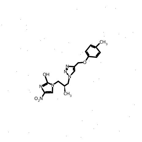 Cc1ccc(OCc2cn(C[C@@H](C)Cn3cc([N+](=O)[O-])nc3O)nn2)cc1